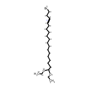 CCOC(CCCCCCCCCCCCC/C=C/CCBr)OCC